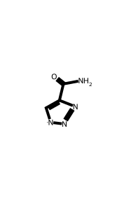 NC(=O)C1=C[N]N=N1